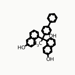 CC(c1ccc(-c2ccccc2)cc1)(c1cccc2cc(O)ccc12)c1c(O)ccc2cc(O)ccc12